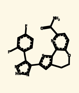 NC(=O)c1ccc2c(n1)-c1sc(-c3n[nH]nc3-c3ccc(F)cc3F)cc1CCO2